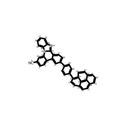 N#Cc1ccc2c3cc(-c4ccc(-c5ccc6ccc7cccc8ccc5c6c78)cc4)ccc3c3nc4ccccc4n3c2c1